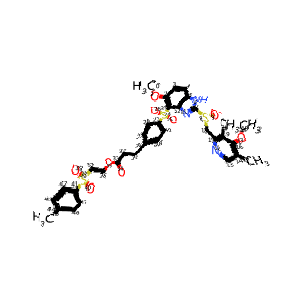 COc1ccc2[nH]c([S+]([O-])Cc3ncc(C)c(OC)c3C)nc2c1S(=O)(=O)c1ccc(CCC(=O)OCCS(=O)(=O)c2ccc(C)cc2)cc1